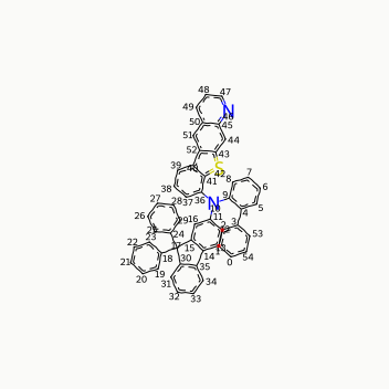 c1ccc(-c2ccccc2N(c2ccc3c(c2)C(c2ccccc2)(c2ccccc2)c2ccccc2-3)c2cccc3c2sc2cc4ncccc4cc23)cc1